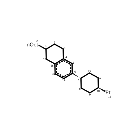 CCCCCCCCC1CCc2cc([C@H]3CC[C@H](CC)CC3)ccc2C1